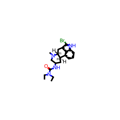 CCN(CC)C(=O)NC1C[C@@H]2c3cccc4[nH]c(Br)c(c34)C[C@H]2N(C)C1